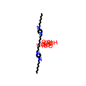 CCCCCCCCN=c1ccn(CCCCCCCCCCn2ccc(=NCCCCCCCC)cc2)cc1.O=S(=O)(O)O.O=S(=O)(O)O